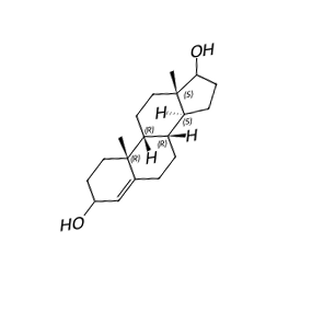 C[C@]12CCC(O)C=C1CC[C@@H]1[C@H]2CC[C@]2(C)C(O)CC[C@@H]12